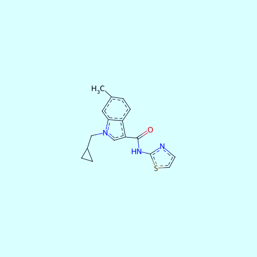 Cc1ccc2c(C(=O)Nc3nccs3)cn(CC3CC3)c2c1